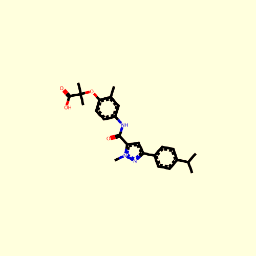 Cc1cc(NC(=O)c2cc(-c3ccc(C(C)C)cc3)nn2C)ccc1OC(C)(C)C(=O)O